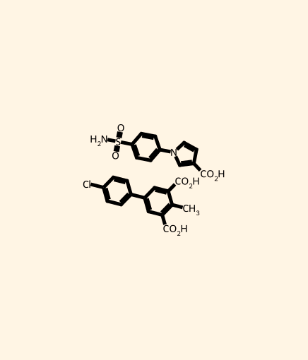 Cc1c(C(=O)O)cc(-c2ccc(Cl)cc2)cc1C(=O)O.NS(=O)(=O)c1ccc(-n2ccc(C(=O)O)c2)cc1